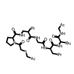 CCC(C)C(NC(=O)C(CC(C)C)NC(=O)CNC(=O)C(CNC(=O)C1CCCN1C(=O)CSCC(C)=O)C(C)C)C(=O)NCC(C)=O